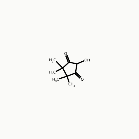 CC1(C)C(=O)C(O)C(=O)C1(C)C